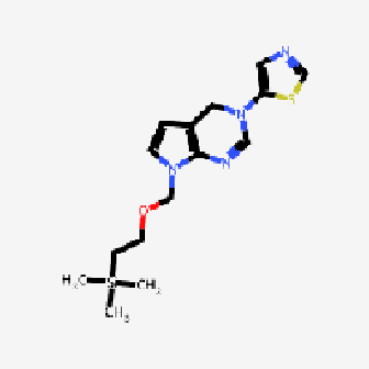 C[Si](C)(C)CCOCn1ccc2c1N=CN(c1cncs1)C2